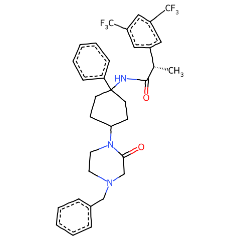 C[C@H](C(=O)NC1(c2ccccc2)CCC(N2CCN(Cc3ccccc3)CC2=O)CC1)c1cc(C(F)(F)F)cc(C(F)(F)F)c1